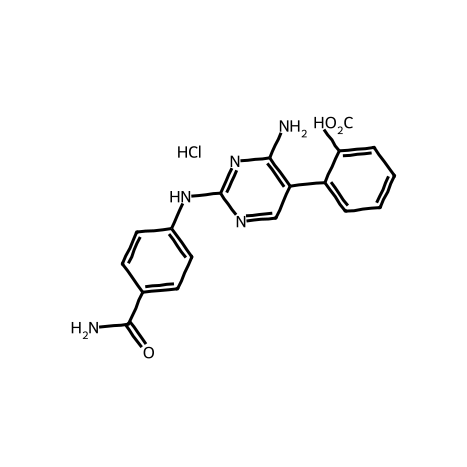 Cl.NC(=O)c1ccc(Nc2ncc(-c3ccccc3C(=O)O)c(N)n2)cc1